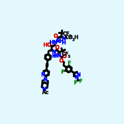 CC(=O)N1CC2CC(C1)CN(c1ccc(C#Cc3ccc(C[C@H](NC(=O)[C@@H](NC(=O)OCCc4c(F)cc(-c5cnn(C(F)F)c5)cc4F)C(C)(C)C(F)(F)F)[C@@H](O)CNNC(=O)[C@@H](NC(=O)O)C(C)(C)C(F)(F)F)cc3)cn1)C2